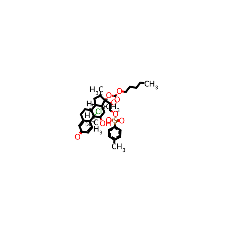 CCCCCOC(=O)O[C@]1(C(=O)COS(=O)(=O)c2ccc(C)cc2)[C@H](C)C[C@H]2[C@@H]3CCC4=CC(=O)C=C[C@]4(C)[C@@]3(Cl)C(O)C[C@@]21C